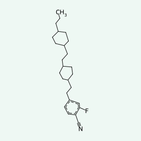 CCCC1CCC(CCC2CCC(CCc3ccc(C#N)c(F)c3)CC2)CC1